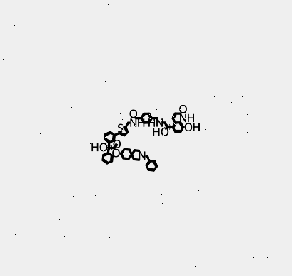 O=C(NCc1ccc(-c2cccc([C@](O)(C(=O)OC3CCC4(CC3)CCN(Cc3ccccc3)CC4)c3ccccc3)c2)s1)c1ccc(CNC[C@H](O)c2ccc(O)c3[nH]c(=O)ccc23)cc1